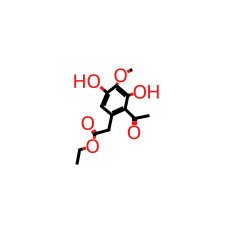 CCOC(=O)Cc1cc(O)c(OC)c(O)c1C(C)=O